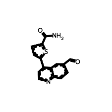 NC(=O)c1ccc(-c2ccnc3ccc(C=O)cc23)s1